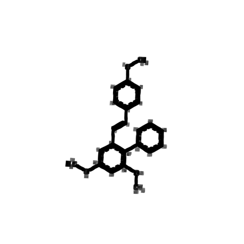 COc1ccc(C=Cc2cc(OC)cc(OC)c2-c2ccccc2)cc1